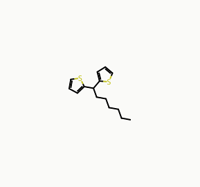 CCCCCCC(c1cccs1)c1cccs1